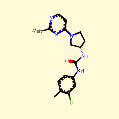 CNc1nccc(N2CC[C@H](NC(=O)Nc3ccc(C)c(Cl)c3)C2)n1